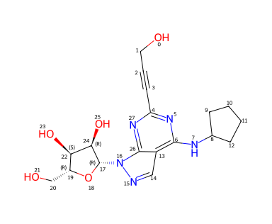 OCC#Cc1nc(NC2CCCC2)c2cnn([C@@H]3O[C@H](CO)[C@@H](O)[C@H]3O)c2n1